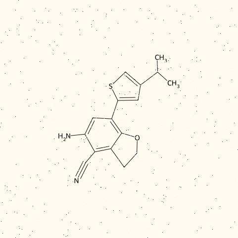 CC(C)c1csc(-c2cc(N)c(C#N)c3c2OCC3)c1